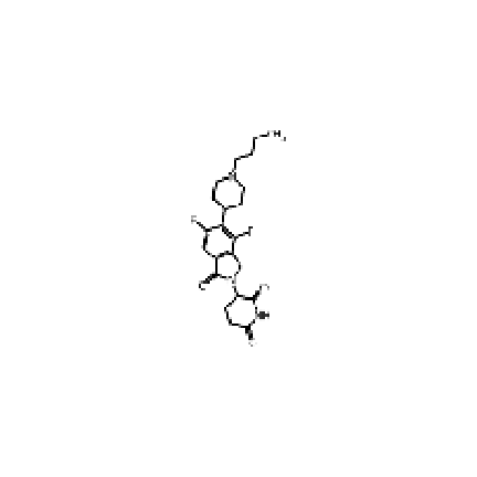 CCCCN1CCC(c2c(F)cc3c(c2F)CN(C2CCC(=O)NC2=O)C3=O)CC1